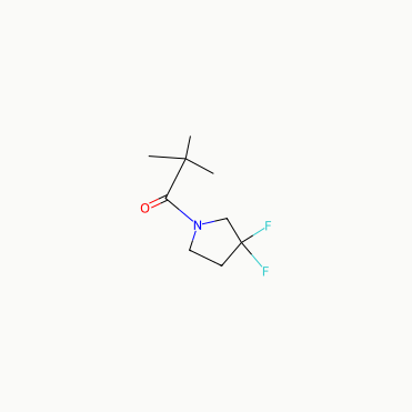 CC(C)(C)C(=O)N1CCC(F)(F)C1